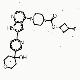 O=C(O[C@H]1C[C@H](F)C1)N1CCN(c2ccnc3[nH]c(-c4ccc(C5(O)CCOCC5)cn4)cc23)CC1